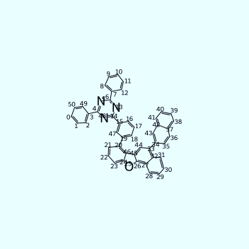 c1ccc(-c2nc(-c3ccccc3)nc(-c3cccc(-c4cccc5oc6c7ccccc7c(-c7ccc8ccccc8c7)cc6c45)c3)n2)cc1